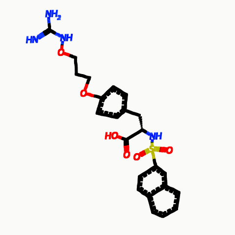 N=C(N)NOCCCOc1ccc(C[C@H](NS(=O)(=O)c2ccc3ccccc3c2)C(=O)O)cc1